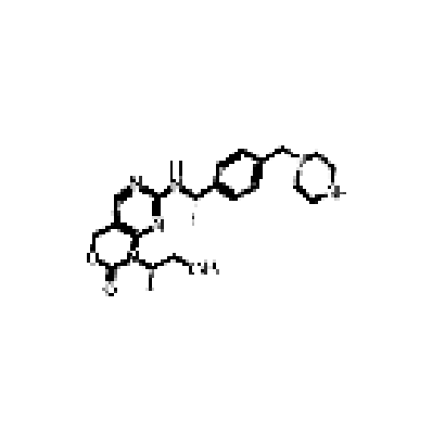 C[C@H](Nc1ncc2c(n1)N([C@H](C)CO)C(=O)OC2)c1ccc(CN2CCNCC2)cc1